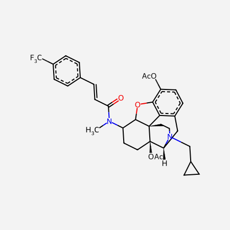 CC(=O)Oc1ccc2c3c1OC1C(N(C)C(=O)/C=C/c4ccc(C(F)(F)F)cc4)CC[C@@]4(OC(C)=O)[C@@H](C2)N(CC2CC2)CC[C@]314